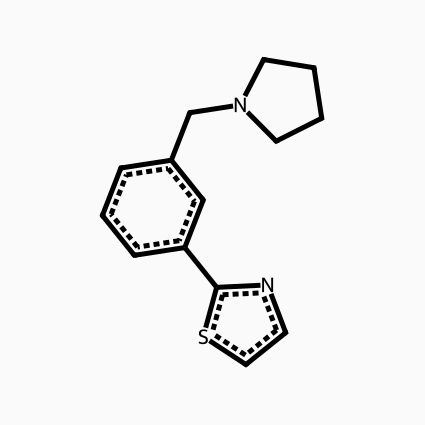 c1cc(CN2CCCC2)cc(-c2nccs2)c1